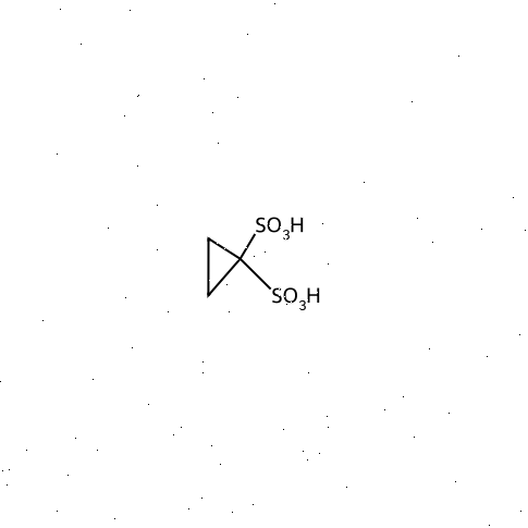 O=S(=O)(O)C1(S(=O)(=O)O)CC1